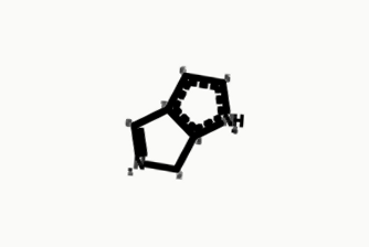 C1=NCc2[nH]ccc21